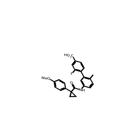 COc1ccc(C2(C(=O)Nc3ccc(C)c(-c4ccc(C(=O)O)cc4F)c3)CC2)cc1